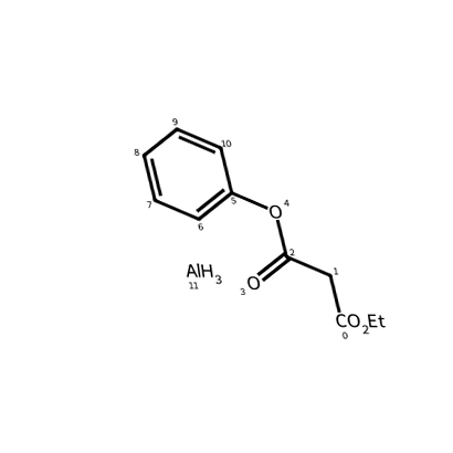 CCOC(=O)CC(=O)Oc1ccccc1.[AlH3]